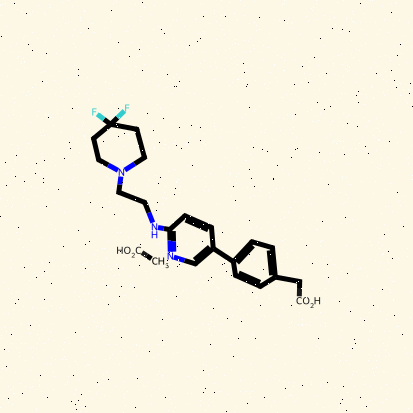 CC(=O)O.O=C(O)Cc1ccc(-c2ccc(NCCN3CCC(F)(F)CC3)nc2)cc1